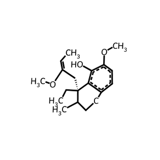 C/C=C(\C[C@]1(CC)c2c(ccc(OC)c2O)CCC1C)OC